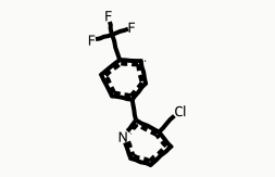 FC(F)(F)c1[c]cc(-c2ncccc2Cl)cc1